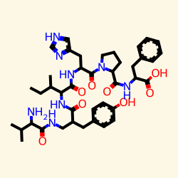 CCC(C)C(NC(=O)C(CNC(=O)C(N)C(C)C)Cc1ccc(O)cc1)C(=O)NC(Cc1c[nH]cn1)C(=O)N1CCCC1C(=O)NC(Cc1ccccc1)C(=O)O